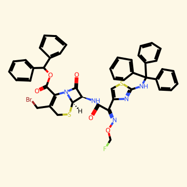 O=C(OC(c1ccccc1)c1ccccc1)C1=C(CBr)CS[C@@H]2[C@H](NC(=O)/C(=N\OCF)c3csc(NC(c4ccccc4)(c4ccccc4)c4ccccc4)n3)C(=O)N12